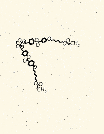 C=CC(=O)OCCCCCCOc1ccc(C(=O)Oc2ccc(COC3OCCOC3OCc3ccc(OC(=O)c4ccc(OCCCCCCOC(=O)C=C)cc4)cc3)cc2)cc1